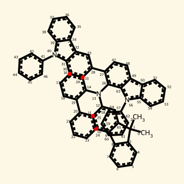 CC1(C)c2ccccc2-c2ccc(N(c3ccccc3-c3ccccc3)c3c(-c4ccc5c(c4)c4ccccc4n5-c4ccccc4)ccc4c5ccccc5n(-c5ccccc5)c34)cc21